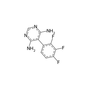 Nc1ncnc(N)c1-c1ccc(F)c(F)c1F